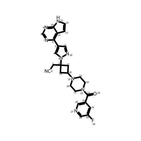 N#CCC1(n2cc(-c3ncnc4[nH]ccc34)cn2)CC(N2CCN(C(=O)c3cncc(F)c3)CC2)C1